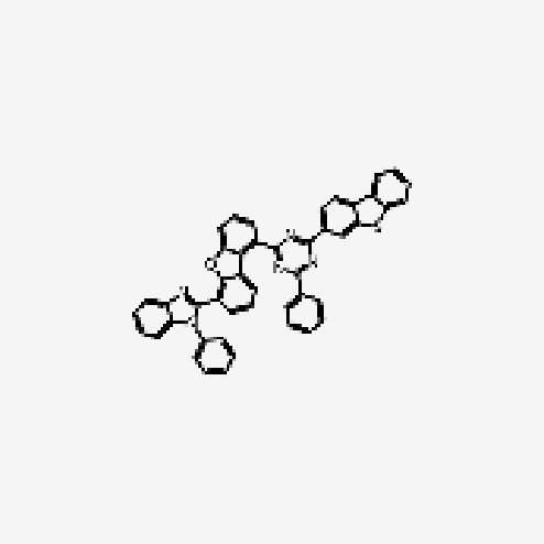 c1ccc(-c2nc(-c3ccc4c(c3)sc3ccccc34)nc(-c3cccc4oc5c(-c6nc7ccccc7n6-c6ccccc6)cccc5c34)n2)cc1